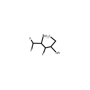 CCCC(CC(=O)O)C(F)C(F)C(F)F